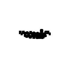 COc1nc(OC2CCC(C(F)(F)F)CC2)c(F)cc1CNC(=O)[C@H]1NC[C@H]1C